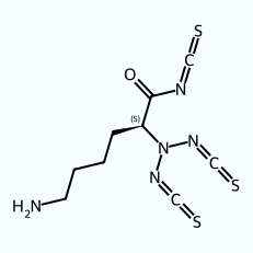 NCCCC[C@@H](C(=O)N=C=S)N(N=C=S)N=C=S